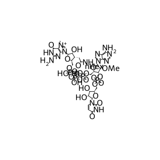 CCCCCCNC(=O)C[C@H]1[C@@H](O)[C@H](n2c[n+](C)c3c(=O)[nH]c(N)nc32)O[C@@H]1COP(=O)(O)OP(=O)(O)OP(=O)(O)OC[C@H]1O[C@@H](n2cnc3c(N)ncnc32)[C@H](OC)[C@@H]1OP(=O)([O-])OC[C@H]1O[C@@H](n2ccc(=O)[nH]c2=O)[C@H](O)[C@@H]1O